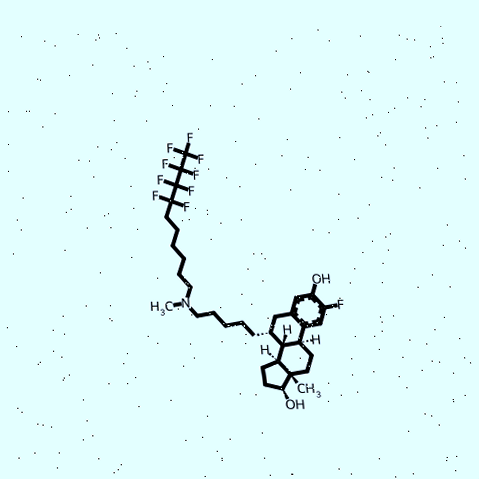 CN(CCCCCCC(F)(F)C(F)(F)C(F)(F)C(F)(F)F)CCCCC[C@@H]1Cc2cc(O)c(F)cc2[C@H]2CC[C@]3(C)[C@@H](O)CC[C@H]3[C@H]12